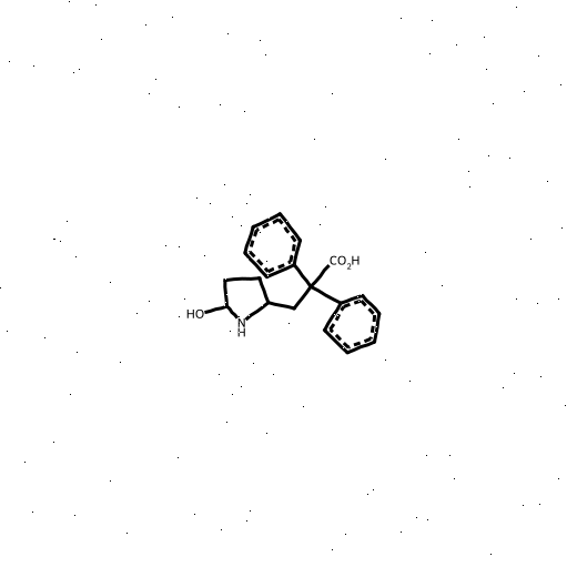 O=C(O)C(CC1CCC(O)N1)(c1ccccc1)c1ccccc1